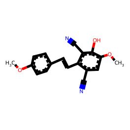 COc1ccc(C=Cc2c(C#N)cc(OC)c(O)c2C#N)cc1